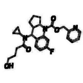 O=C(OCc1ccccn1)N1c2cc(F)ccc2C(N(C(=O)CCCO)C2CC2)C2CCCC21